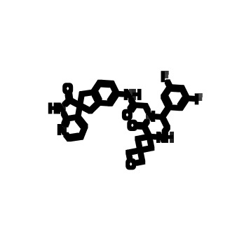 O=C(CN1C(=O)C2(CC3(COC3)C2)NCC1c1cc(F)cc(F)c1)Nc1ccc2c(c1)CC1(C2)C(=O)Nc2ncccc21